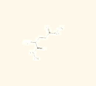 CC(CCC(=O)NC#N)C(=O)NC#N